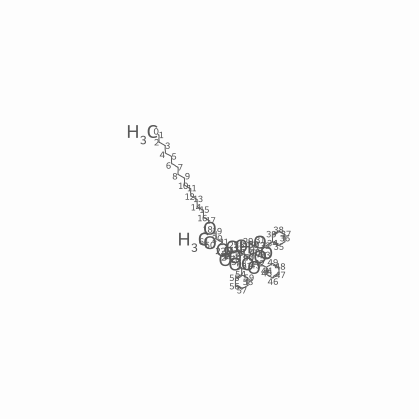 CCCCCCCCCCCCCCCCCCOCC(COP(=O)(O)O[C@@H]1OC[C@@H](OC(=O)c2ccccc2)[C@@H](OC(=O)c2ccccc2)[C@H]1OC(=O)c1ccccc1)OC